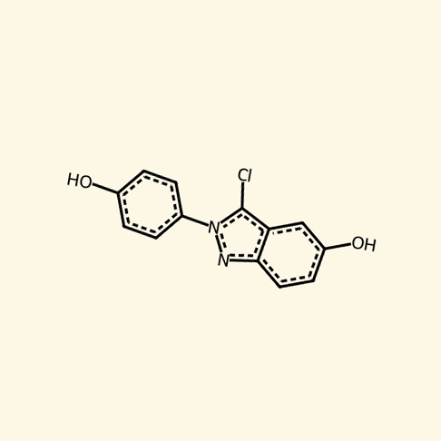 Oc1ccc(-n2nc3ccc(O)cc3c2Cl)cc1